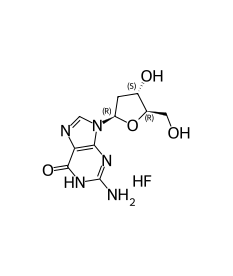 F.Nc1nc2c(ncn2[C@H]2C[C@H](O)[C@@H](CO)O2)c(=O)[nH]1